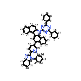 c1ccc(-c2nc(-c3ccccc3)nc(-n3c4ccc5ccccc5c4c4cc(-c5ccc(-c6nc7ccccc7n6-c6ccccc6)nc5)c5ccccc5c43)n2)cc1